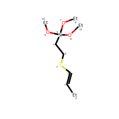 CC/C=C/SCC[Si](OCC)(OCC)OCC